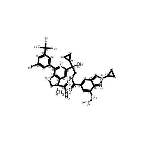 COc1cc(C(=O)NC[C@](O)(c2cc3c(c(-c4cc(F)cc(C(F)(F)F)c4)n2)OC[C@]3(C)C(N)=O)C2CC2)cc2cn(C3CC3)nc12